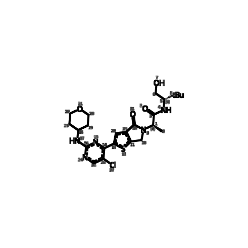 C[C@H](C(=O)N[C@H](CO)C(C)(C)C)N1Cc2sc(-c3nc(NC4CCOCC4)ncc3Cl)cc2C1=O